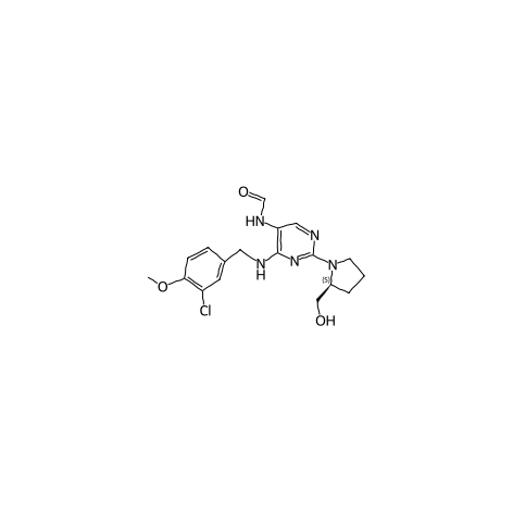 COc1ccc(CNc2nc(N3CCC[C@H]3CO)ncc2NC=O)cc1Cl